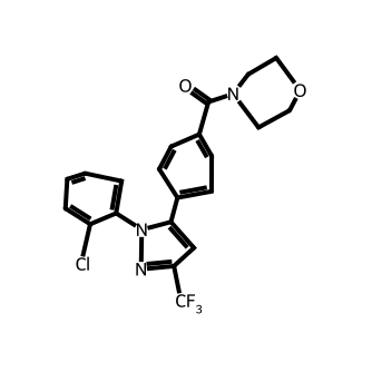 O=C(c1ccc(-c2cc(C(F)(F)F)nn2-c2ccccc2Cl)cc1)N1CCOCC1